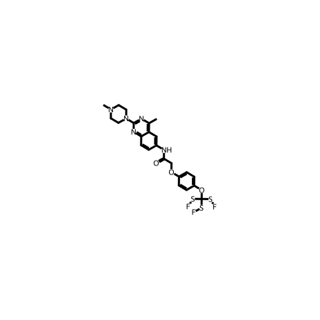 Cc1nc(N2CCN(C)CC2)nc2ccc(NC(=O)COc3ccc(OC(SF)(SF)SF)cc3)cc12